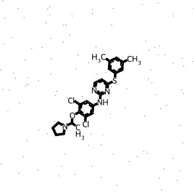 Cc1cc(C)cc(Sc2ccnc(Nc3cc(Cl)c(OC(C)N4CCCC4)c(Cl)c3)n2)c1